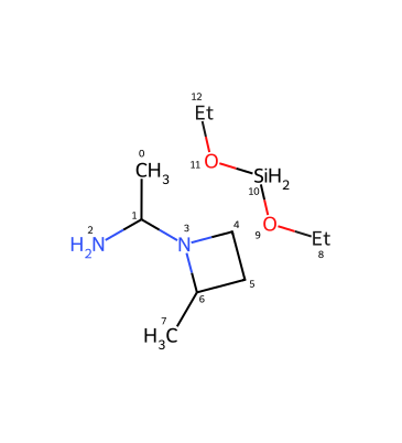 CC(N)N1CCC1C.CCO[SiH2]OCC